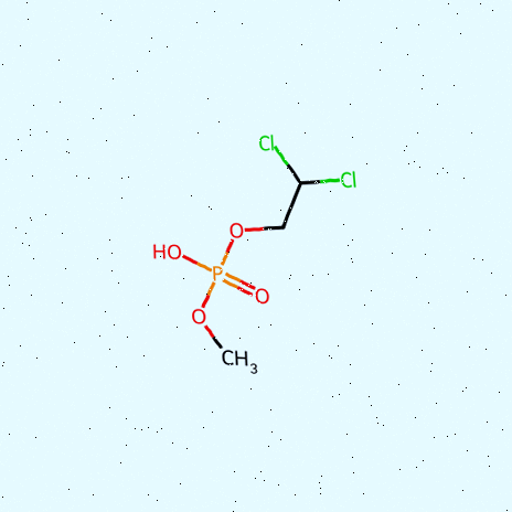 COP(=O)(O)OCC(Cl)Cl